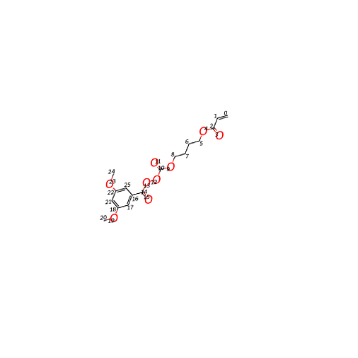 C=CC(=O)OCCCCOC(=O)OOC(=O)c1cc(OC)cc(OC)c1